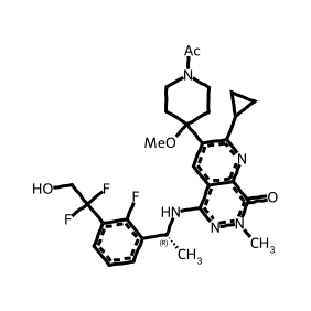 COC1(c2cc3c(N[C@H](C)c4cccc(C(F)(F)CO)c4F)nn(C)c(=O)c3nc2C2CC2)CCN(C(C)=O)CC1